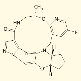 C[C@H]1CNC(=O)c2cnn3cc4c(nc23)N(Cc2cc(F)cnc2O1)[C@@H]1CCC[C@@H]1O4